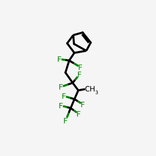 CC(C(F)(F)CC(F)(F)C1CC2C=CC1C2)C(F)(F)C(F)(F)F